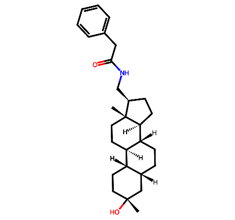 C[C@@]1(O)CC[C@H]2[C@H](CC[C@@H]3[C@@H]2CC[C@]2(C)[C@@H](CNC(=O)Cc4ccccc4)CC[C@@H]32)C1